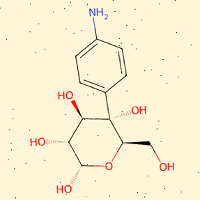 Nc1ccc([C@]2(O)[C@H](O)[C@@H](O)[C@@H](O)O[C@@H]2CO)cc1